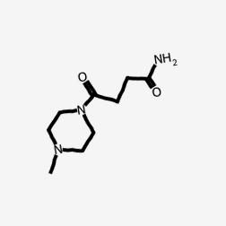 CN1CCN(C(=O)CCC(N)=O)CC1